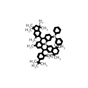 Cc1cc2c3c(c1)C(c1ccc(C(C)(C)C)cc1C)c1cc4c(cc1B3c1cc(N(c3ccccc3)c3ccccc3)ccc1C2c1cc2c(cc1C)C(C)(C)CC2(C)C)C(C)(C)CCC4(C)C